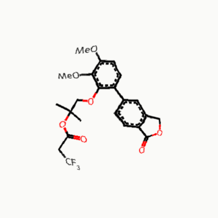 COc1ccc(-c2ccc3c(c2)COC3=O)c(OCC(C)(C)OC(=O)CC(F)(F)F)c1OC